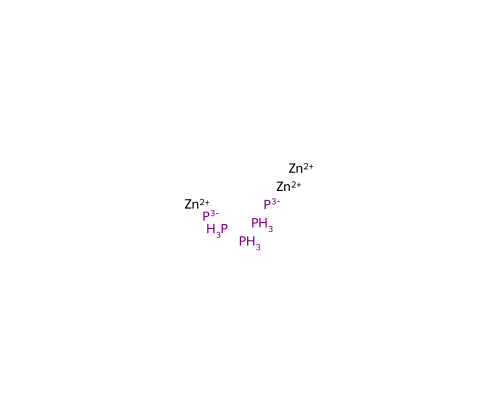 P.P.P.[P-3].[P-3].[Zn+2].[Zn+2].[Zn+2]